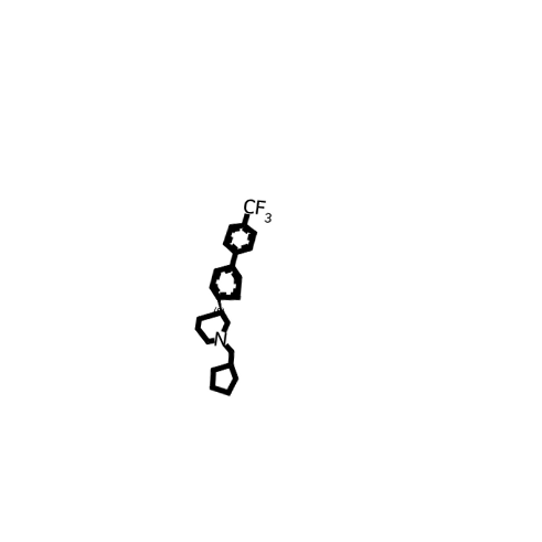 FC(F)(F)c1ccc(-c2ccc([C@@H]3CCCN(CC4CCCC4)C3)cc2)cc1